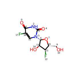 O=c1[nH]c(=O)n([C@@H]2O[C@H](CO)[C@@H](F)[C@H]2O)cc1F